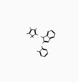 CC1=C(C)C(C)(C)[C]([Ti+2][CH]2C(Pc3ccccc3C)=Cc3ccccc32)=C1C.[F-].[F-]